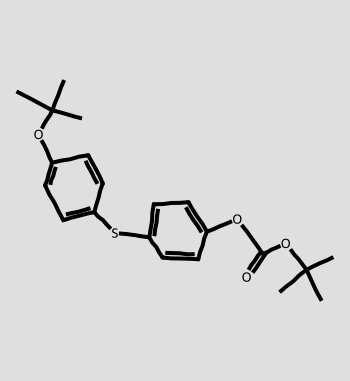 CC(C)(C)OC(=O)Oc1ccc(Sc2ccc(OC(C)(C)C)cc2)cc1